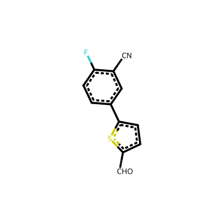 N#Cc1cc(-c2ccc(C=O)s2)ccc1F